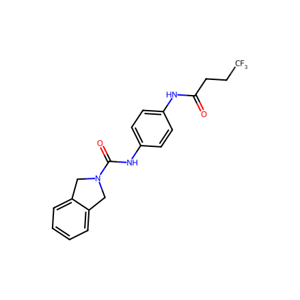 O=C(CCC(F)(F)F)Nc1ccc(NC(=O)N2Cc3ccccc3C2)cc1